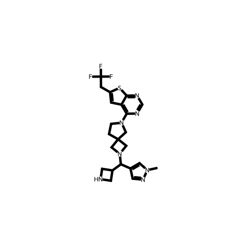 Cn1cc(C(C2CNC2)N2CC3(CCN(c4ncnc5sc(CC(F)(F)F)cc45)C3)C2)cn1